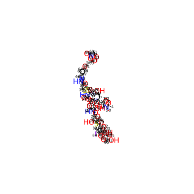 CCN(C(C)=O)C1COC(OC2C(O[C@H]3/C=C\C#C[C@]4(O)CC(=O)C(NC(=O)OC)=C3/C4=C\CSSC(C)(C)CC(=O)N/N=C(\C)c3ccc(OCCCC(=O)ON4C(=O)CCC4=O)cc3)OC(C)C(NOC3CC(O)C(SC(=O)c4c(C)c(I)c(OC5OC(C)C(O)C(OC)C5O)c(OC)c4OC)C(C)O3)C2O)CC1OC